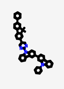 CC1(C)c2cc(-c3ccccc3)ccc2-c2ccc(-c3cnc(-n4c5ccccc5c5cc(-c6ccc7c8ccccc8n(-c8ccccc8)c7c6)ccc54)nc3)cc21